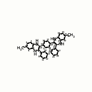 Cc1ccc2c(c1)NC(c1ccccc1)=C(c1ccc(C3=C(c4ccccc4)Nc4cc(C)ccc4N3)cc1)N2